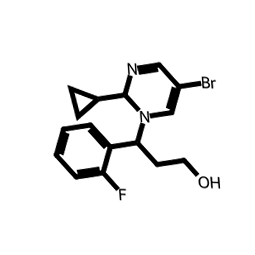 OCCC(c1ccccc1F)N1C=C(Br)C=NC1C1CC1